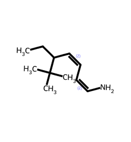 CCC(/C=C\C=C/N)C(C)(C)C